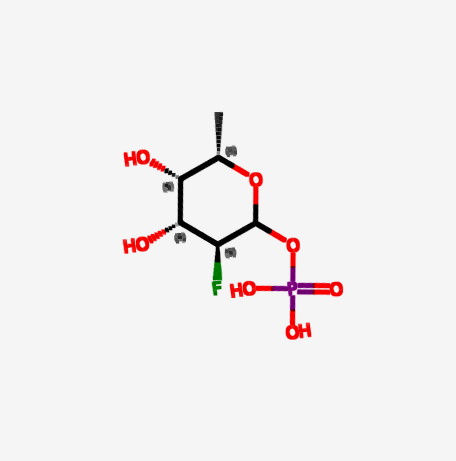 C[C@@H]1OC(OP(=O)(O)O)[C@@H](F)[C@H](O)[C@@H]1O